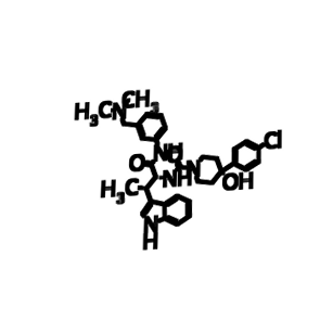 C[C@H](c1c[nH]c2ccccc12)[C@@H](NC(=O)N1CCC(O)(c2ccc(Cl)cc2)CC1)C(=O)Nc1cccc(CN(C)C)c1